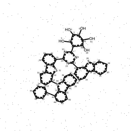 Oc1c(O)c(O)c(-c2nc(-c3cccc4c3sc3ccccc34)nc(-c3cccc4c3sc3c(-n5c6ccccc6c6cccc(-c7ccccc7)c65)cccc34)n2)c(O)c1O